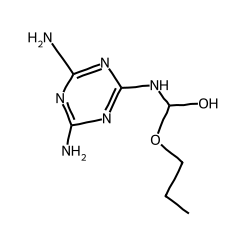 CCCOC(O)Nc1nc(N)nc(N)n1